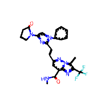 CNC(=O)c1cc(C=Cc2nc(N3CCCC3=O)cn2-c2ccccc2)nn2c(C)c(C(F)(F)F)nc12